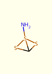 NS12SC1S2